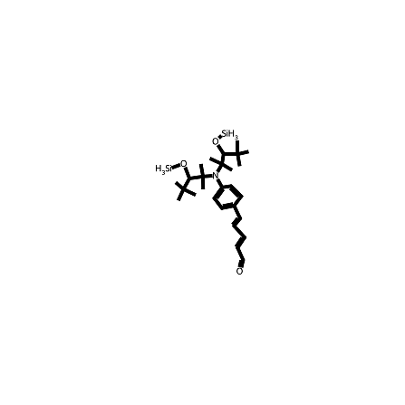 CC(C)(C)C(O[SiH3])C(C)(C)N(c1ccc(C=CC=CC=O)cc1)C(C)(C)C(O[SiH3])C(C)(C)C